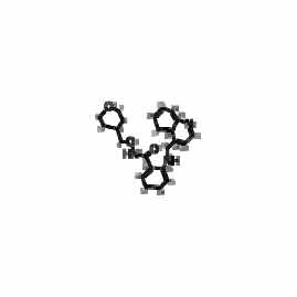 O=C(NOCC1CCOCC1)c1ccccc1NCc1ccnc2ccccc12